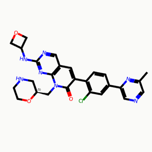 Cc1cncc(-c2ccc(-c3cc4cnc(NC5COC5)nc4n(C[C@@H]4CNCCO4)c3=O)c(Cl)c2)n1